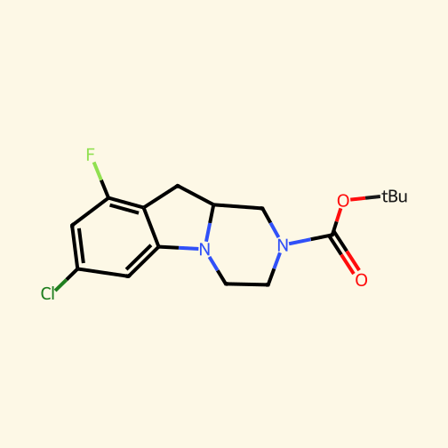 CC(C)(C)OC(=O)N1CCN2c3cc(Cl)cc(F)c3CC2C1